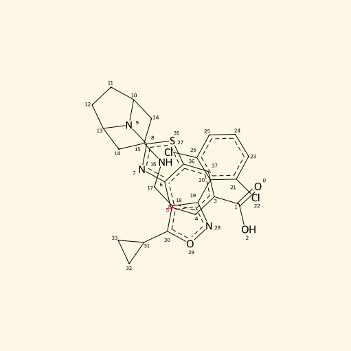 O=C(O)c1ccc2nc(N3C4CCC3CC(NCc3c(-c5c(Cl)cccc5Cl)noc3C3CC3)C4)sc2c1